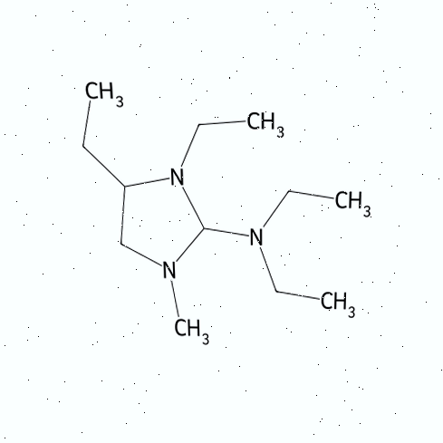 CCC1CN(C)C(N(CC)CC)N1CC